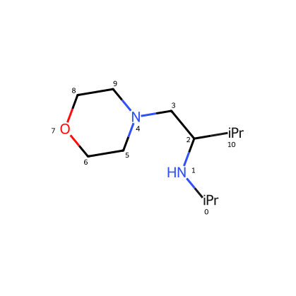 CC(C)NC(CN1CCOCC1)C(C)C